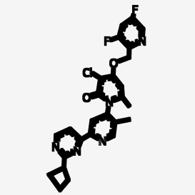 Cc1cnc(-c2ccnc(C3CCC3)n2)cc1-n1c(C)cc(OCc2ncc(F)cc2F)c(Cl)c1=O